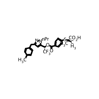 CCCn1nc(Cc2ccc(C)cc2)cc1[C@H](OC(=O)c1ccc(SC(C)(C)C(=O)O)cc1)C(F)(F)F